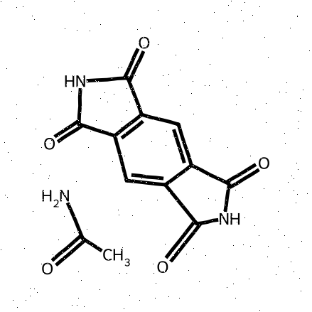 CC(N)=O.O=c1[nH]c(=O)c2cc3c(=O)[nH]c(=O)c3cc12